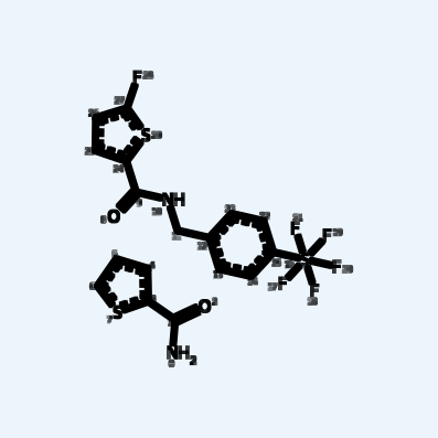 NC(=O)c1cccs1.O=C(NCc1ccc(S(F)(F)(F)(F)F)cc1)c1ccc(F)s1